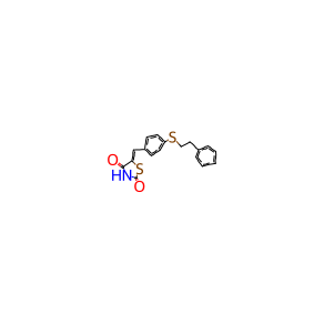 O=C1NC(=O)/C(=C/c2ccc(SCCc3ccccc3)cc2)S1